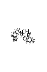 CN(CCOc1ccc(F)cc1F)C1CCc2ccc(Br)cc21